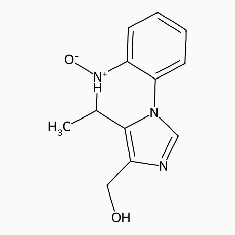 CC1c2c(CO)ncn2-c2ccccc2[NH+]1[O-]